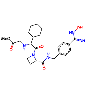 COC(=O)CN[C@@H](C(=O)N1CC[C@H]1C(=O)NCc1ccc(C(=N)NO)cc1)C1CCCCC1